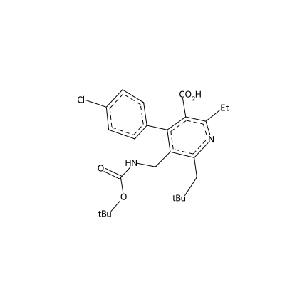 CCc1nc(CC(C)(C)C)c(CNC(=O)OC(C)(C)C)c(-c2ccc(Cl)cc2)c1C(=O)O